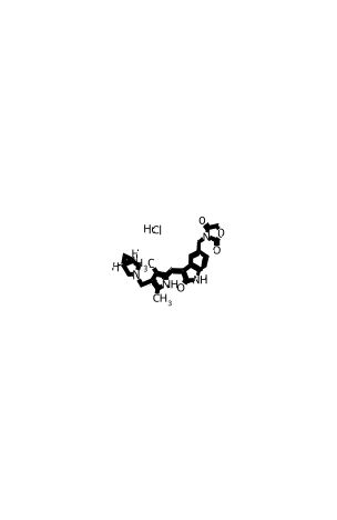 Cc1[nH]c(/C=C2\C(=O)Nc3ccc(CN4C(=O)COC4=O)cc32)c(C)c1CN1C[C@H]2C[C@H]2C1.Cl